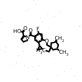 C=C1CC(C)CC(CC)(COc2cc(F)c(C(=O)N3CCC=C3C(=O)O)cc2C2CC2)C1